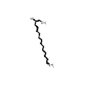 C=CCCCCCCCCCCCCC(=CC)CC